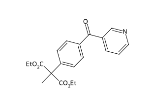 CCOC(=O)C(C)(C(=O)OCC)c1ccc(C(=O)c2cccnc2)cc1